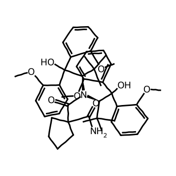 COc1ccccc1C(O)(c1ccccc1OC)[C@H](N(C(=O)C1(C(N)=O)CCCC1)[C@H](C(C)(C)C)C(O)(c1ccccc1OC)c1ccccc1OC)C(C)(C)C